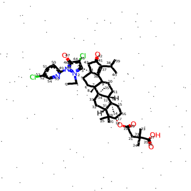 CCn1c([C@@]23CC[C@]4(C)C(CC[C@@H]5[C@@]6(C)CC[C@H](OC(=O)CC(C)(C)C(=O)O)C(C)(C)[C@@H]6CC[C@]54C)C2=C(C(C)C)C(=O)C3)c(Cl)c(=O)n1-c1ccc(Cl)cn1